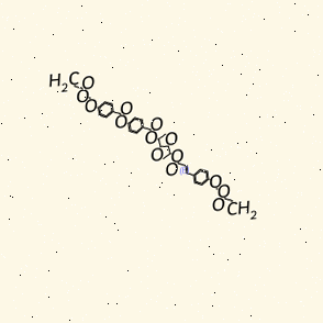 C=CC(=O)OCOc1ccc(/C=C/C(=O)OC2COC3C(OC(=O)c4ccc(OC(=O)c5ccc(OCOC(=O)C=C)cc5)cc4)COC23)cc1